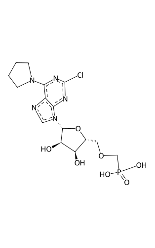 O=P(O)(O)COC[C@H]1O[C@@H](n2cnc3c(N4CCCC4)nc(Cl)nc32)[C@H](O)[C@@H]1O